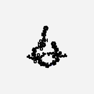 CCC(C)(c1ccccc1)c1ccc(C2=C3C(=O)N(CCCC(C)C)C(c4ccc(-c5ccc(/C=C/c6ccc(C(C)(C)C(C)(CC)c7ccc(C8=C9C(=O)N(CCCC(C)C)C(c%10ccc(-c%11ccc(CCNC(=O)c%12cccc(C(=O)NCCc%13ccc(C(C)(C)c%14ccccc%14)s%13)n%12)s%11)s%10)=C9C(=O)N8CCCC(C)C)s7)s6)s5)s4)=C3C(=O)N2CCCC(C)C)s1